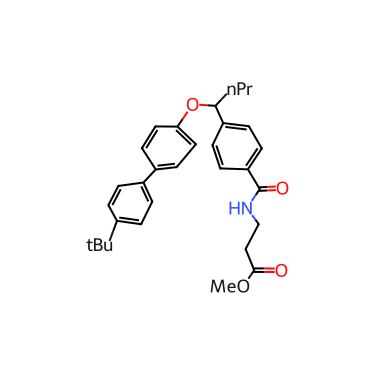 CCCC(Oc1ccc(-c2ccc(C(C)(C)C)cc2)cc1)c1ccc(C(=O)NCCC(=O)OC)cc1